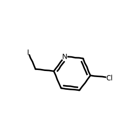 Clc1ccc(CI)nc1